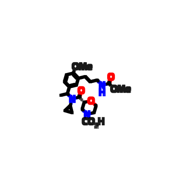 COC(=O)NCCCc1cc(C(C)N(C(=O)[C@H]2CN(C(=O)O)CCO2)C2CC2)ccc1OC